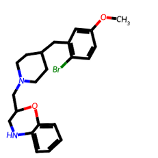 COc1ccc(Br)c(CC2CCN(CC3CNc4ccccc4O3)CC2)c1